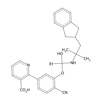 CCC(O)(NC(C)(C)CC1Cc2ccccc2C1)Oc1cc(-c2ncccc2C(=O)O)ccc1C#N